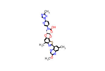 COc1cnc2c(-c3nc4c(C)cc5c(c4s3)OC[C@@H](CN(C(=O)O)c3ccc(-n4cnc(C)n4)nc3)O5)cc(C)cc2n1